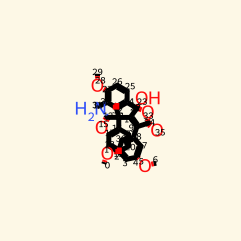 COc1cc(OC)cc(C2=C(C(C)(C(N)=O)c3ccccc3)C(O)(c3ccc(OC)c(C)c3)OC2=O)c1